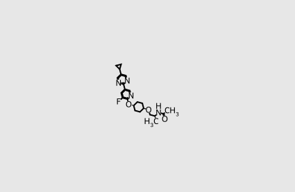 CC(=O)N[C@@H](C)CO[C@H]1CC[C@H](Oc2ncc(-c3ncc(C4CC4)cn3)cc2F)CC1